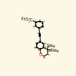 CCOC(=O)c1cccc(C#Cc2ccc3c(c2)C(SC)(SC)CCO3)c1